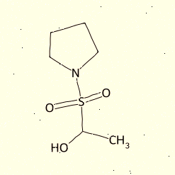 CC(O)S(=O)(=O)N1CCCC1